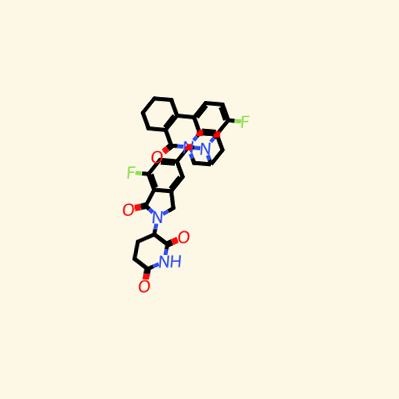 O=C1CCC(N2Cc3cc(CN4C5CC4CN(C(=O)C4=C(c6ccc(F)cc6)CCCC4)C5)cc(F)c3C2=O)C(=O)N1